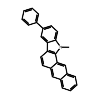 Cn1c2ccc(-c3ccccc3)cc2c2ccc3cc4ccccc4cc3c21